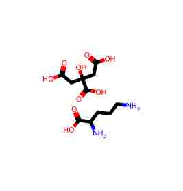 NCCCC(N)C(=O)O.O=C(O)CC(O)(CC(=O)O)C(=O)O